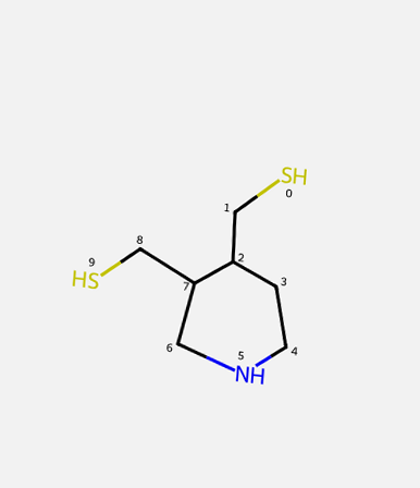 SCC1CCNCC1CS